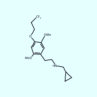 COc1cc(OCCC(F)(F)F)c(OC)cc1CCNCC1CC1